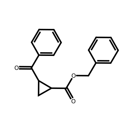 O=C(OCc1ccccc1)C1CC1C(=O)c1ccccc1